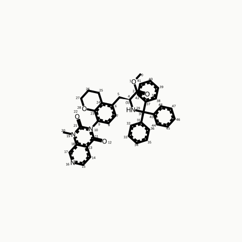 COC(=O)[C@H](Cc1ccc(-n2c(=O)c3ccncc3n(C)c2=O)c2c1CCCO2)NC(c1ccccc1)(c1ccccc1)c1ccccc1